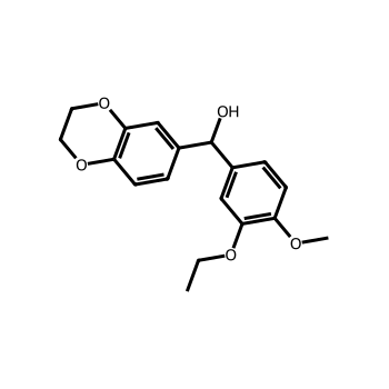 CCOc1cc(C(O)c2ccc3c(c2)OCCO3)ccc1OC